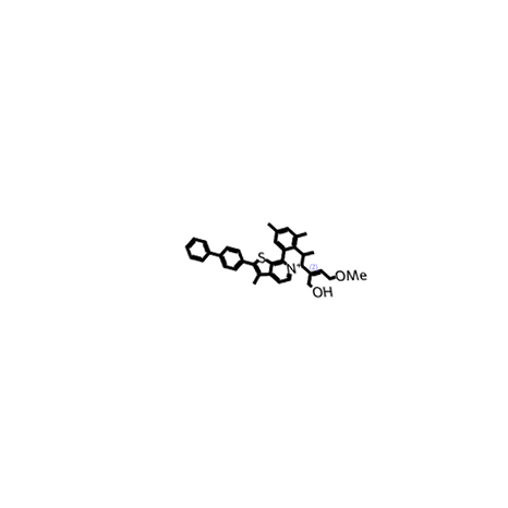 COC/C=C(\CO)C1C(C)c2c(C)cc(C)cc2-c2c3sc(-c4ccc(-c5ccccc5)cc4)c(C)c3cc[n+]21